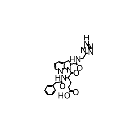 O=C(O)CCC(NC(=O)Cc1ccccc1)C(=O)N1c2ncccc2CC1C(=O)NCc1nn[nH]n1